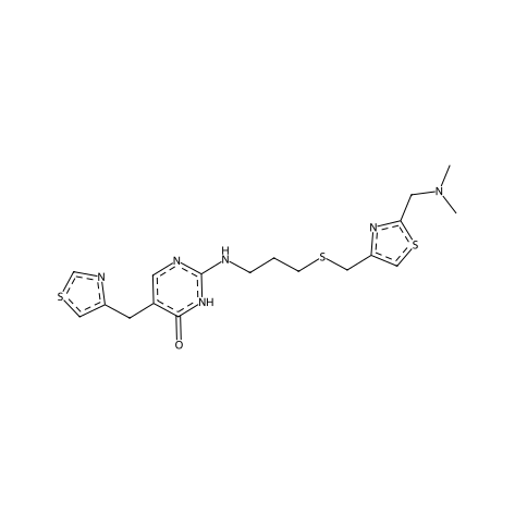 CN(C)Cc1nc(CSCCCNc2ncc(Cc3cscn3)c(=O)[nH]2)cs1